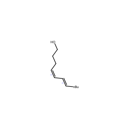 CCCC/C=C/C=C\CCCO